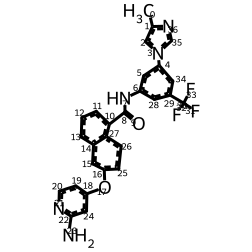 Cc1cn(-c2cc(NC(=O)c3cccc4cc(Oc5ccnc(N)c5)ccc34)cc(C(F)(F)F)c2)cn1